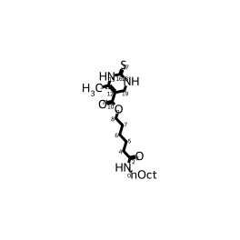 CCCCCCCCNC(=O)CCCCCOC(=O)C1=C(C)NC(=S)NC1